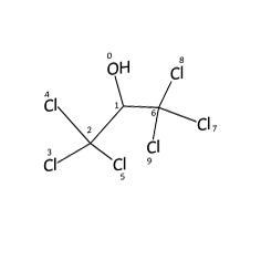 OC(C(Cl)(Cl)Cl)C(Cl)(Cl)Cl